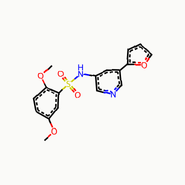 COc1ccc(OC)c(S(=O)(=O)Nc2cncc(-c3ccco3)c2)c1